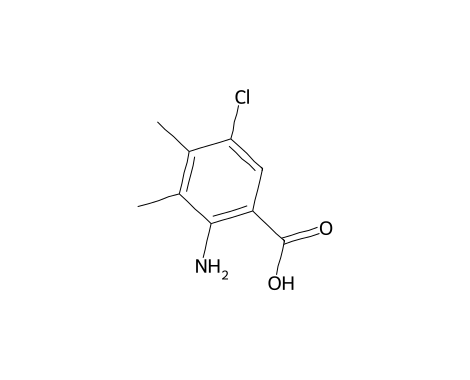 Cc1c(Cl)cc(C(=O)O)c(N)c1C